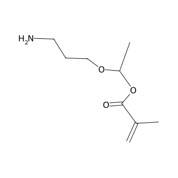 C=C(C)C(=O)OC(C)OCCCN